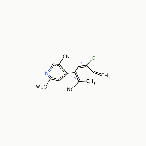 C=C/C(Cl)=C\C(=C(/C)C#N)c1cc(OC)ncc1C#N